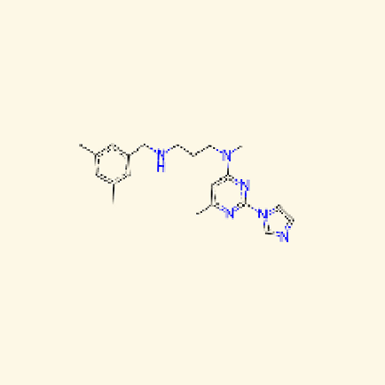 Cc1cc(C)cc(CNCCCN(C)c2cc(C)nc(-n3ccnc3)n2)c1